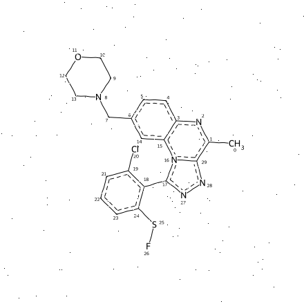 Cc1nc2ccc(CN3CCOCC3)cc2n2c(-c3c(Cl)cccc3SF)nnc12